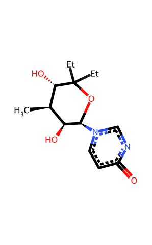 CCC1(CC)O[C@@H](n2ccc(=O)nc2)[C@@H](O)[C@@H](C)[C@@H]1O